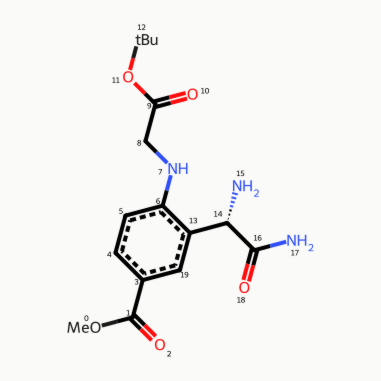 COC(=O)c1ccc(NCC(=O)OC(C)(C)C)c([C@H](N)C(N)=O)c1